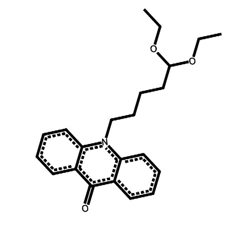 CCOC(CCCCn1c2ccccc2c(=O)c2ccccc21)OCC